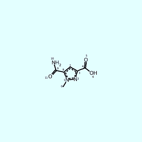 Cn1nc(C(=O)O)cc1C(N)=O